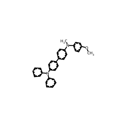 COc1ccc(N(C)c2ccc(-c3ccc(N(c4ccccc4)c4ccccc4)cc3)cc2)cc1